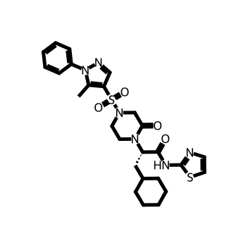 Cc1c(S(=O)(=O)N2CCN([C@@H](CC3CCCCC3)C(=O)Nc3nccs3)C(=O)C2)cnn1-c1ccccc1